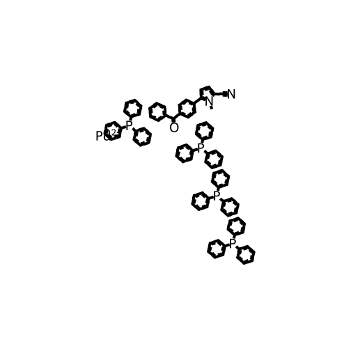 Cn1c(C#N)ccc1-c1ccc(C(=O)c2ccccc2)cc1.[Pd+2].c1ccc(P(c2ccccc2)c2ccccc2)cc1.c1ccc(P(c2ccccc2)c2ccccc2)cc1.c1ccc(P(c2ccccc2)c2ccccc2)cc1.c1ccc(P(c2ccccc2)c2ccccc2)cc1